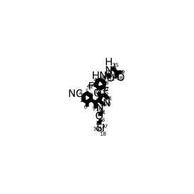 Cc1cc(C#N)ccc1-c1cn(COCC[Si](C)(C)C)c2nccc(Oc3c(F)cc(NC(=O)N[C@H](C)C4COC4)cc3F)c12